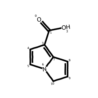 O=C(O)c1ccn2c1C=CC2